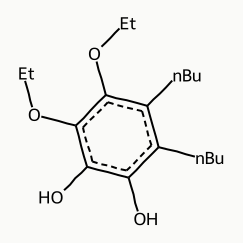 CCCCc1c(O)c(O)c(OCC)c(OCC)c1CCCC